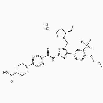 CCCOc1ccc(-c2nc(NC(=O)c3cnc(N4CCC(C(=O)O)CC4)cn3)sc2CN2CCC[C@H]2CC)cc1C(F)(F)F.Cl.Cl